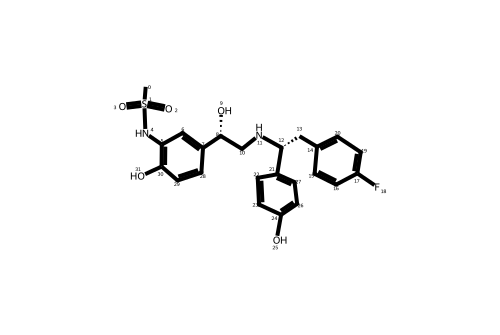 CS(=O)(=O)Nc1cc([C@H](O)CN[C@H](Cc2ccc(F)cc2)c2ccc(O)cc2)ccc1O